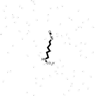 O=C=NCCCCCCNC(=O)O